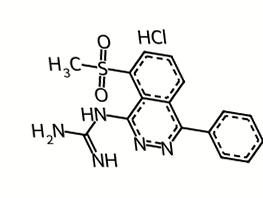 CS(=O)(=O)c1cccc2c(-c3ccccc3)nnc(NC(=N)N)c12.Cl